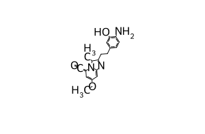 COC1=CC(=C=O)N2C(=C1)N=C(CCc1ccc(N)c(O)c1)C2C